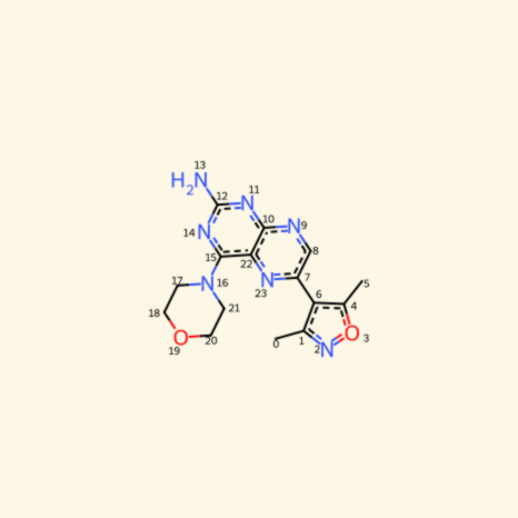 Cc1noc(C)c1-c1cnc2nc(N)nc(N3CCOCC3)c2n1